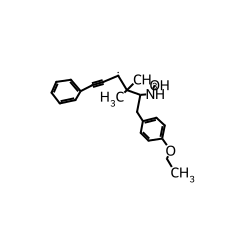 CCOc1ccc(CC(NO)C(C)(C)[CH]C#Cc2ccccc2)cc1